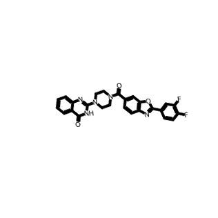 O=C(c1ccc2nc(-c3ccc(F)c(F)c3)oc2c1)N1CCN(c2nc3ccccc3c(=O)[nH]2)CC1